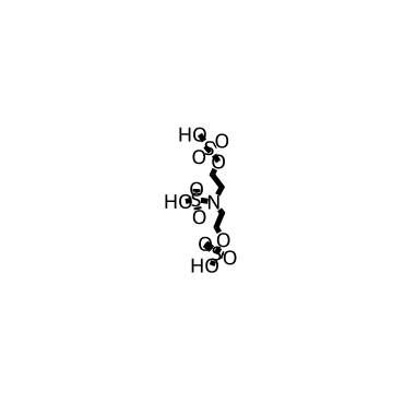 O=S(=O)(O)OCCN(CCOS(=O)(=O)O)S(=O)(=O)O